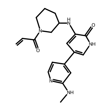 C=CC(=O)N1CCCC(Nc2cc(-c3ccnc(NC)c3)c[nH]c2=O)C1